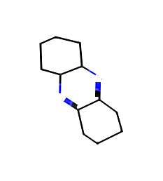 C1CCC2=NC3CCCCC3N=C2C1